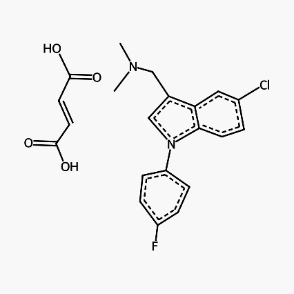 CN(C)Cc1cn(-c2ccc(F)cc2)c2ccc(Cl)cc12.O=C(O)C=CC(=O)O